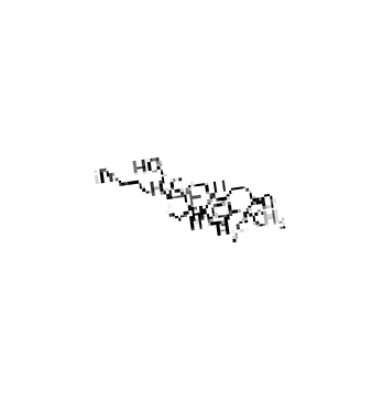 CC(C)CCC[C@@H](CO)[C@H]1CC[C@H]2[C@@H]3CC=C4C(C)(C)C(=O)CC[C@]4(C)[C@H]3CC[C@]12C